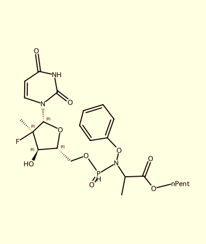 CCCCCOC(=O)C(C)N(Oc1ccccc1)[PH](=O)OC[C@H]1O[C@@H](n2ccc(=O)[nH]c2=O)[C@](C)(F)[C@@H]1O